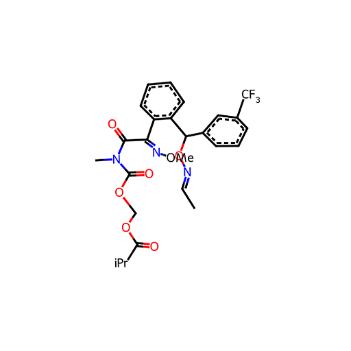 C/C=N/OC(c1cccc(C(F)(F)F)c1)c1ccccc1/C(=N\OC)C(=O)N(C)C(=O)OCOC(=O)C(C)C